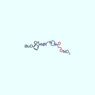 Cc1c(CNCCCN2CCN(C(=O)CCO[N+](=O)[O-])CC2)cccc1OCC(C)C